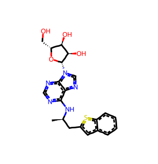 C[C@H](Cc1cc2ccccc2s1)Nc1ncnc2c1ncn2[C@@H]1O[C@H](CO)[C@@H](O)[C@H]1O